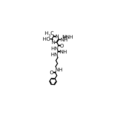 Cc1nc(NN=N)c(C(=O)NC(=N)NCCCCNC(=O)Cc2ccccc2)nc1O